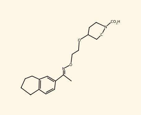 CC(=NOCCOC1CCN(C(=O)O)CC1)c1ccc2c(c1)CCCC2